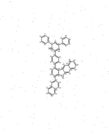 c1ccc(C2=NC(c3ccccc3)NC(c3ccc(-c4ccc(-c5ccc6ccccc6c5)c5oc6cc7cccnc7cc6c45)cc3)=N2)cc1